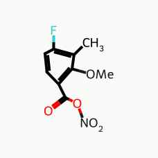 COc1c(C(=O)O[N+](=O)[O-])ccc(F)c1C